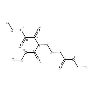 CCOC(=O)CCCC(C(=O)OCC)C(=O)C(=O)OCC